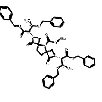 C[C@@H](OCc1ccccc1)[C@@H](C(=O)OCc1ccccc1)N1CC2(CCC3(CN([C@H](C(=O)OCc4ccccc4)[C@@H](C)OCc4ccccc4)C3=O)N2C(=O)OC(C)(C)C)C1=O